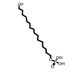 O=P(O)(O)OCCCCCCCCCCCCCCCCO